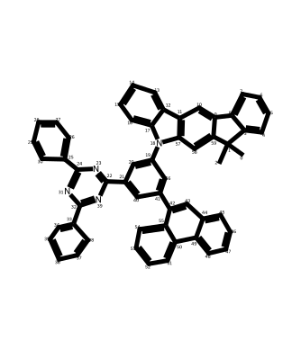 CC1(C)c2ccccc2-c2cc3c4ccccc4n(-c4cc(-c5nc(-c6ccccc6)nc(-c6ccccc6)n5)cc(-c5cc6ccccc6c6ccccc56)c4)c3cc21